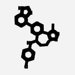 Cc1nnn2c1-c1ccc(-c3cccc4[nH]cnc34)cc1C(Nc1ccc(Cl)cc1)CC2